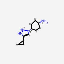 N[C@H]1CC[C@H](N2C=C(C3CC3)NN2)CC1